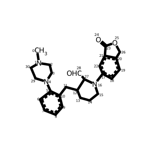 CN1CCN(c2ccccc2CC2CCCN(c3ccc4c(c3)C(=O)OC4)C2C=O)CC1